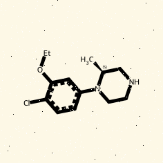 CCOc1cc(N2CCNC[C@@H]2C)ccc1Cl